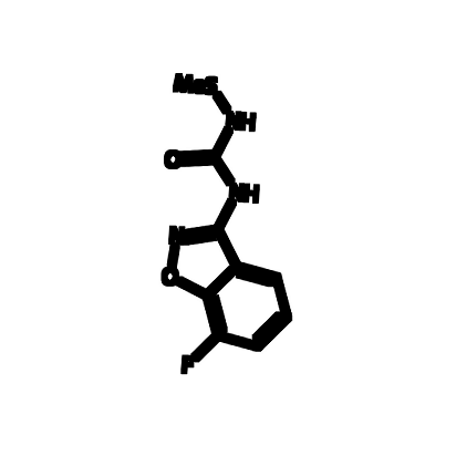 CSNC(=O)Nc1noc2c(F)cccc12